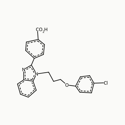 O=C(O)c1ccc(-c2nc3ccccc3n2CCCOc2ccc(Cl)cc2)cc1